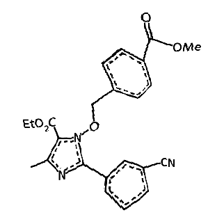 CCOC(=O)c1c(C)nc(-c2cccc(C#N)c2)n1OCc1ccc(C(=O)OC)cc1